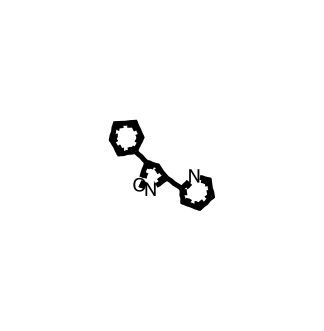 c1ccc(-c2cc(-c3ccccn3)no2)cc1